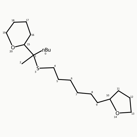 CCCCC(C)(SCCCCCCC1CCCO1)C1CCCCO1